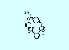 Cc1nc2cc(OC([C@@H](C)O)N3CCN(CC4=NOC(c5ccccc5Cl)C4)CC3)ccc2s1